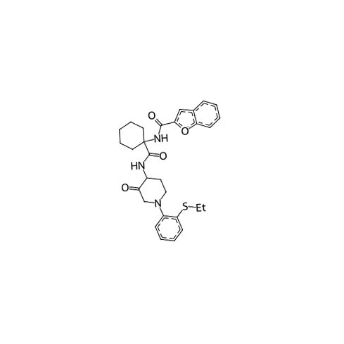 CCSc1ccccc1N1CCC(NC(=O)C2(NC(=O)c3cc4ccccc4o3)CCCCC2)C(=O)C1